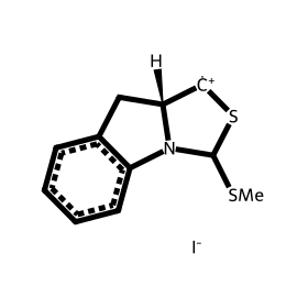 CSC1S[C+][C@H]2Cc3ccccc3N12.[I-]